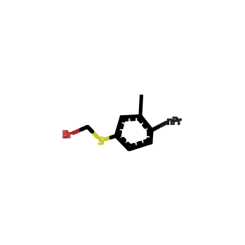 CCCc1ccc(SCBr)cc1C